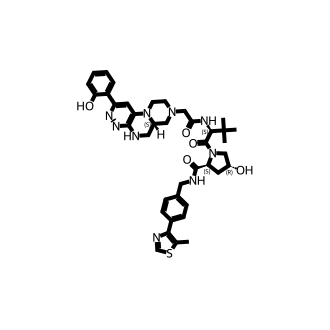 Cc1scnc1-c1ccc(CNC(=O)[C@@H]2C[C@@H](O)CN2C(=O)[C@@H](NC(=O)CN2CCN3c4cc(-c5ccccc5O)nnc4NC[C@H]3C2)C(C)(C)C)cc1